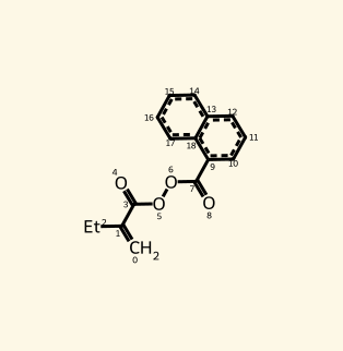 C=C(CC)C(=O)OOC(=O)c1cccc2ccccc12